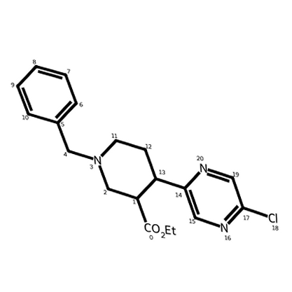 CCOC(=O)C1CN(Cc2ccccc2)CCC1c1cnc(Cl)cn1